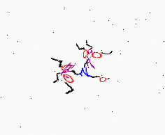 CCCO[PH](CCC)(CCN(CCOC)CC[PH](CCC)(OCCC)OCCC)OCCC